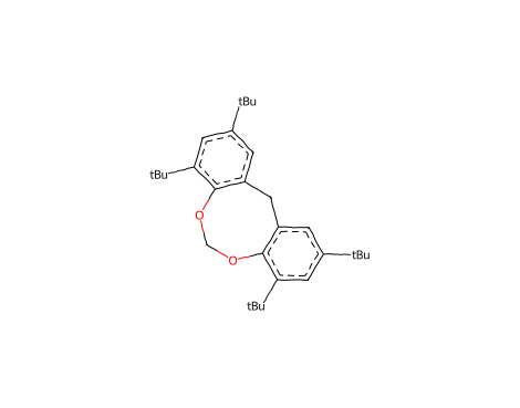 CC(C)(C)c1cc2c(c(C(C)(C)C)c1)OCOc1c(cc(C(C)(C)C)cc1C(C)(C)C)C2